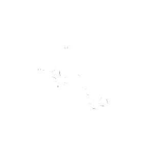 COCCCOc1cc(C(=O)N(C[C@@H]2CNC[C@H]2OC(=O)NCc2nccc3ccccc23)C(C)C)ccc1OC